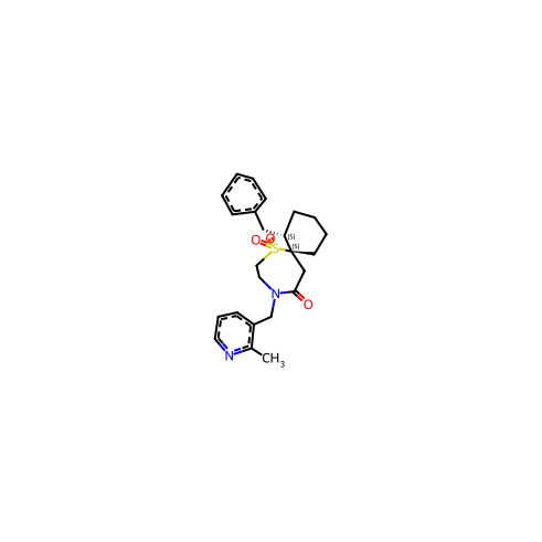 Cc1ncccc1CN1CCS(=O)(=O)[C@@]2(CCCC[C@H]2Cc2ccccc2)CC1=O